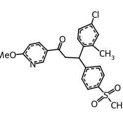 COc1ccc(C(=O)CC(c2ccc(S(C)(=O)=O)cc2)c2ccc(Cl)cc2C)cn1